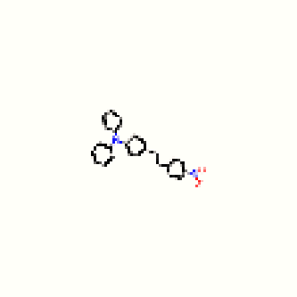 O=[N+]([O-])c1ccc(C=Cc2ccc(N(c3ccccc3)c3ccccc3)cc2)cc1